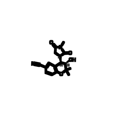 CN1C(=O)CN([C@@H]2c3cc(C#N)ccc3OC(C)(C)[C@H]2O)C1=O